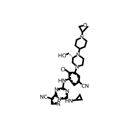 N#Cc1cc(Nc2nc(NC3CC3)n3ncc(C#N)c3n2)c(Cl)c(N2CCN(C3CCN(C4COC4)CC3)[C@@H](CO)C2)c1